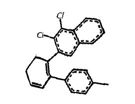 Cc1ccc(C2=C(c3cc4ccccc4c(Cl)c3Cl)[CH]CC=C2)cc1